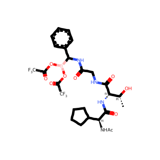 CC(=O)N[C@H](C(=O)N[C@H](C(=O)NCC(=O)NC(B(OC(=O)C(F)(F)F)OC(=O)C(F)(F)F)c1ccccc1)[C@@H](C)O)C1CCCC1